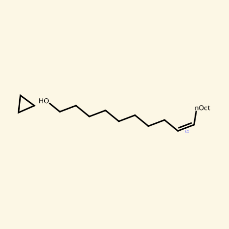 C1CC1.CCCCCCCC/C=C\CCCCCCCCO